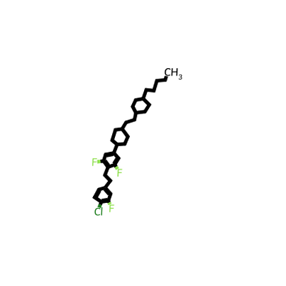 CCCCCC1CCC(CCC2CCC(c3cc(F)c(CCc4ccc(Cl)c(F)c4)c(F)c3)CC2)CC1